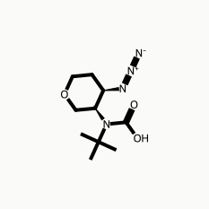 CC(C)(C)N(C(=O)O)[C@H]1COCC[C@H]1N=[N+]=[N-]